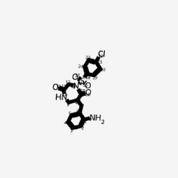 Nc1ccccc1CC1CNC(=O)CN(S(=O)(=O)c2ccc(Cl)cc2)C1=O